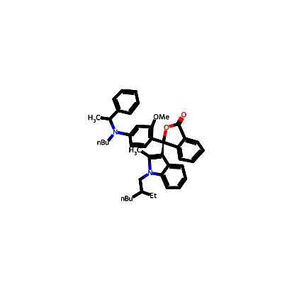 CCCCC(CC)Cn1c(C)c([C@@]2(c3ccc(N(CCCC)C(C)c4ccccc4)cc3OC)OC(=O)c3ccccc32)c2ccccc21